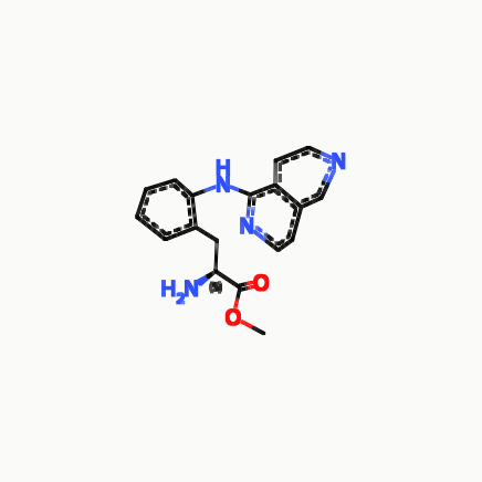 COC(=O)[C@@H](N)Cc1ccccc1Nc1nccc2cnccc12